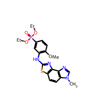 CCOP(=O)(OCC)c1ccc(OC)c(Nc2nc3c(ccc4c3ncn4C)s2)c1